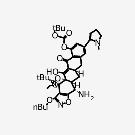 CCCCOc1noc2c1C(=O)[C@@]1(O[Si](C)(C)C(C)(C)C)C(O)=C3C(=O)c4c(cc(C5CCCN5C)cc4OC(=O)OC(C)(C)C)C[C@H]3C[C@H]1[C@@H]2N